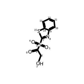 O=C(CO)S(=O)(=O)c1nc2ccccc2s1